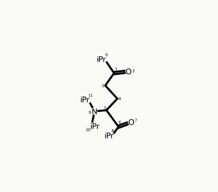 CC(C)C(=O)CCC(C(=O)C(C)C)N(C(C)C)C(C)C